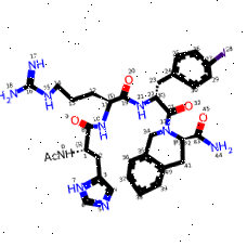 CC(=O)N[C@@H](Cc1cnc[nH]1)C(=O)N[C@@H](CCCNC(=N)N)C(=O)N[C@H](Cc1ccc(I)cc1)C(=O)N1Cc2ccccc2C[C@@H]1C(N)=O